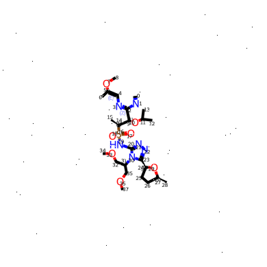 C=N/C(=N\C=C(/C)OC)[C@H](OC(C)C)[C@H](C)S(=O)(=O)Nc1nnc([C@@H]2CC[C@H](C)O2)n1C(COC)COC